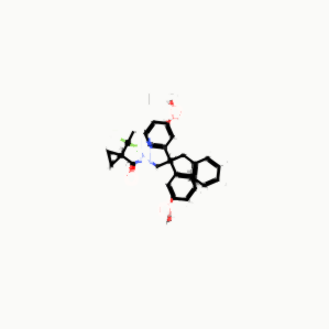 CC(F)(F)C1(C(=O)NCC(Cc2ccccc2)(c2cccc(OC(F)(F)F)c2)c2cccc(OC(F)(F)F)c2)CC1